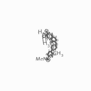 CNC(=O)c1ccc(N2CCN(Cc3ccc4nc(C)c(=O)[nH]c4c3C)CC2)c(C)n1